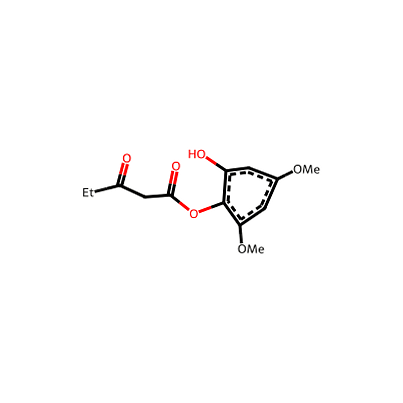 CCC(=O)CC(=O)Oc1c(O)cc(OC)cc1OC